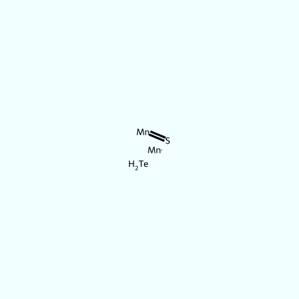 [Mn].[S]=[Mn].[TeH2]